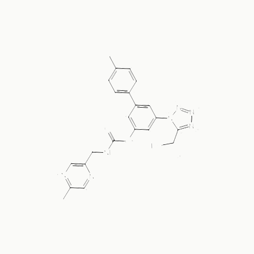 Cc1ccc(-c2cc(OC(=O)NCc3cnc(C)cn3)cc(-n3nnnc3[C@H](C)O)c2)cc1